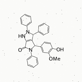 COc1cc(C2C3=C(NN(c4ccccc4)C3c3ccccc3)C(=O)N2c2ccccc2)ccc1O